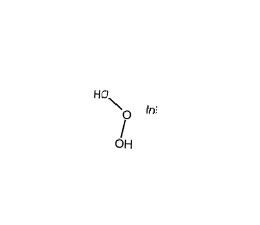 OOO.[In]